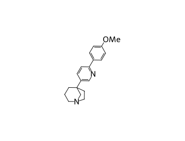 COc1ccc(-c2ccc(C34CCCN(CC3)C4)cn2)cc1